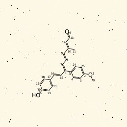 COc1ccc(C(=C\C=C\C(C)=C\C=O)/C=C/c2ccc(O)cc2)cc1